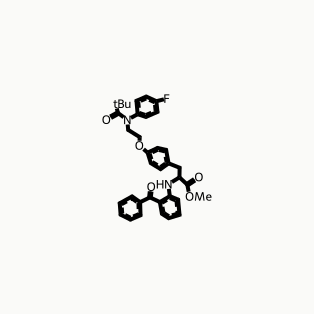 COC(=O)C(Cc1ccc(OCCN(C(=O)C(C)(C)C)c2ccc(F)cc2)cc1)Nc1ccccc1C(=O)c1ccccc1